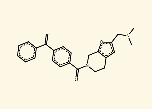 C=C(c1ccccc1)c1ccc(C(=O)N2CCc3cc(CN(C)C)oc3C2)cc1